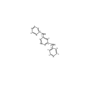 c1ccc(Nc2cncc(Nc3ccccc3)n2)cc1